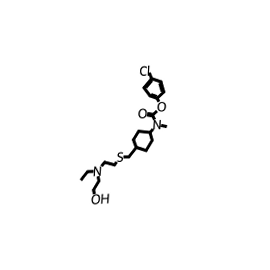 CCN(CCO)CCSCC1CCC(N(C)C(=O)Oc2ccc(Cl)cc2)CC1